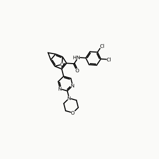 O=C(Nc1ccc(Cl)c(Cl)c1)c1c(-c2cnc(N3CCOCC3)nc2)c2oc1c1c2C1